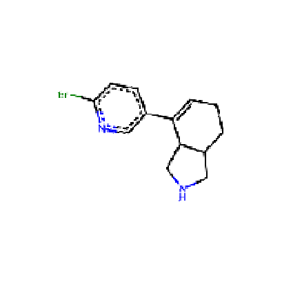 Brc1ccc(C2=CCCC3CNCC23)cn1